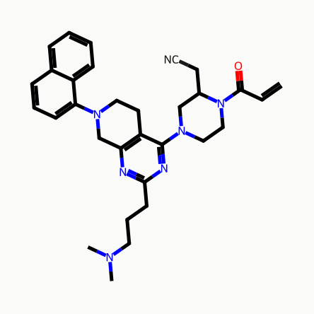 C=CC(=O)N1CCN(c2nc(CCCN(C)C)nc3c2CCN(c2cccc4ccccc24)C3)CC1CC#N